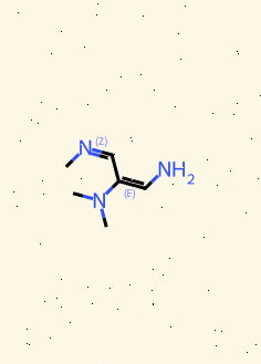 C/N=C\C(=C/N)N(C)C